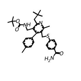 Cc1ccc(-c2c(CSc3ccc(C(N)=O)cc3)c(C)nc(CC(C)(C)C)c2CNC(=O)OC(C)(C)C)cc1